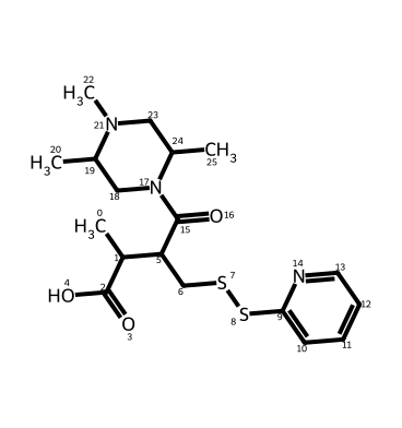 CC(C(=O)O)C(CSSc1ccccn1)C(=O)N1CC(C)N(C)CC1C